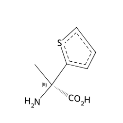 C[C@@](N)(C(=O)O)c1cccs1